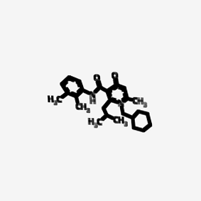 Cc1cccc(NC(=O)c2c(CC(C)C)n(CC3CCCCC3)c(C)cc2=O)c1C